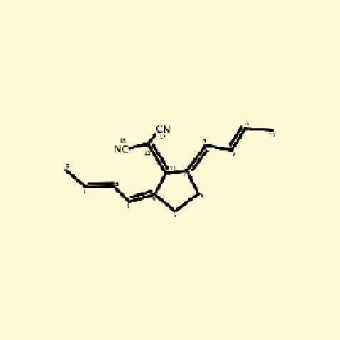 CC=CC=C1CCC(=CC=CC)C1=C(C#N)C#N